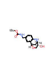 CC(C)(C)OC(=O)NCc1ccc2c(c1)[C@H]1C[C@@H](N2)[C@H](O)CO1